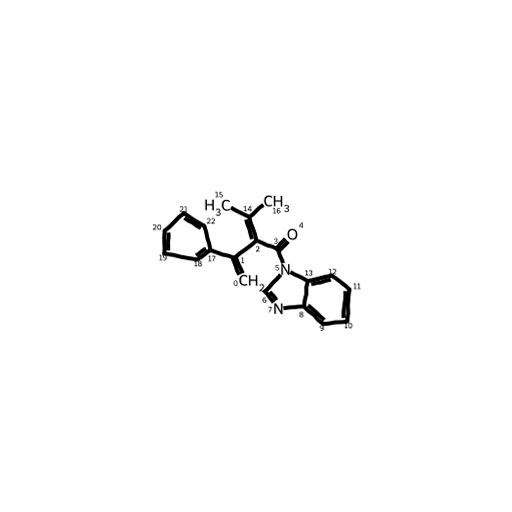 C=C(C(C(=O)n1cnc2ccccc21)=C(C)C)c1ccccc1